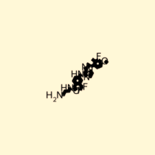 COc1ccc(-c2cnc3c(Nc4ccc(C(=O)NCCCN)c(C(F)F)c4)nccn23)c(C)c1F